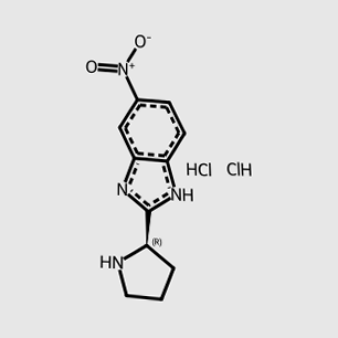 Cl.Cl.O=[N+]([O-])c1ccc2[nH]c([C@H]3CCCN3)nc2c1